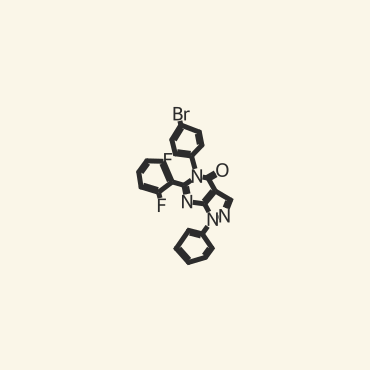 O=c1c2cnn(-c3ccccc3)c2nc(-c2c(F)cccc2F)n1-c1ccc(Br)cc1